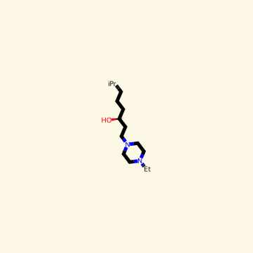 CCN1CCN(CC[C@@H](O)CCCC(C)C)CC1